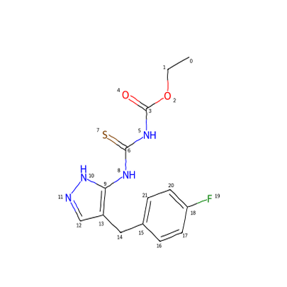 CCOC(=O)NC(=S)Nc1[nH]ncc1Cc1ccc(F)cc1